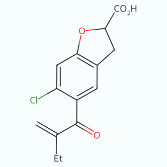 C=C(CC)C(=O)c1cc2c(cc1Cl)OC(C(=O)O)C2